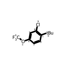 CC(C)(C)c1ccc(OC(F)(F)F)cc1Cl